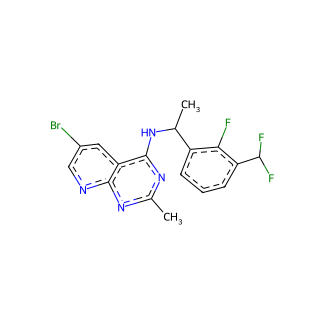 Cc1nc(NC(C)c2cccc(C(F)F)c2F)c2cc(Br)cnc2n1